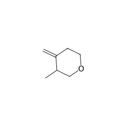 C=C1CCOCC1C